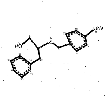 COc1ccc(CSC(CO)Cc2ccccn2)cc1